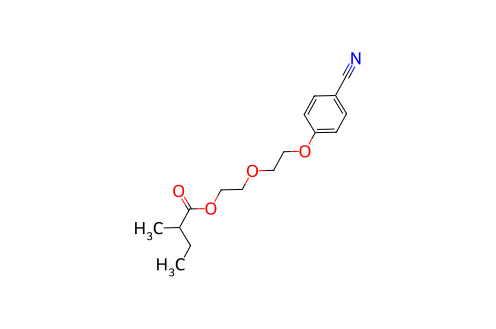 CCC(C)C(=O)OCCOCCOc1ccc(C#N)cc1